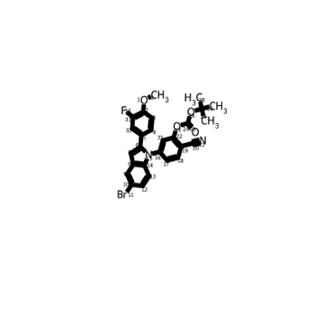 COc1ccc(-c2cc3cc(Br)ccc3n2-c2ccc(C#N)c(OC(=O)OC(C)(C)C)c2)cc1F